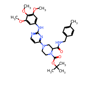 COc1cc(Nc2nccc(N3CCN(C(=O)OC(C)(C)C)C(C(=O)NCc4ccc(C)cc4)C3)n2)cc(OC)c1OC